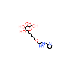 OCC1OC(CCCCCOCc2cn(Cc3ccccn3)nn2)C(O)C(O)C1O